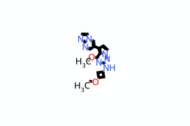 CCOC1CC(Nc2nc(OC)c3c(-c4cnc5nccn5c4)ccn3n2)C1